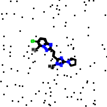 Cc1c(Cl)ccc2nc(C=Cc3nc(N4CCCC4)nn3C)nn12